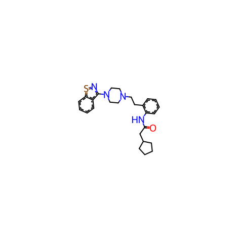 O=C(CC1CCCC1)Nc1ccccc1CCN1CCN(c2nsc3ccccc23)CC1